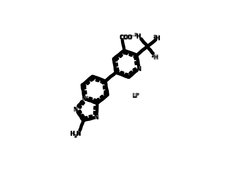 [2H]C([2H])([2H])c1ncc(-c2ccn3nc(N)nc3c2)cc1C(=O)[O-].[Li+]